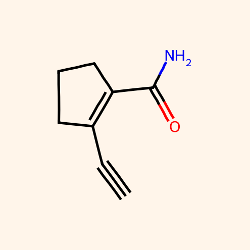 C#CC1=C(C(N)=O)CCC1